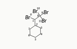 BrC(C1CCCCC1)C(Br)(Br)Br